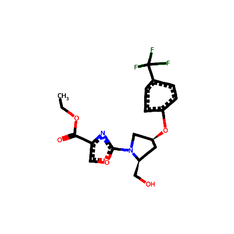 CCOC(=O)c1coc(N2C[C@@H](Oc3ccc(C(F)(F)F)cc3)C[C@H]2CO)n1